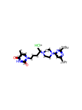 CCCc1cc(N2CCN(C(C)CCCn3cc(C)c(=O)[nH]c3=O)CC2)nc(C(C)(C)C)n1.Cl